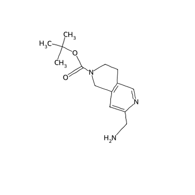 CC(C)(C)OC(=O)N1CCc2cnc(CN)cc2C1